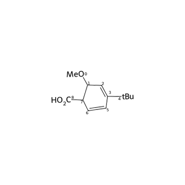 COC1C=C(C(C)(C)C)C=CC1C(=O)O